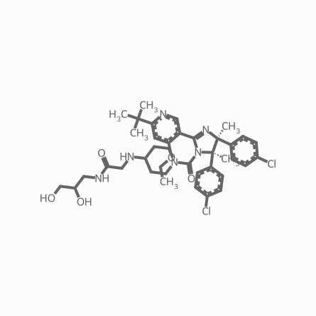 CCOc1cc(C(C)(C)C)ncc1C1=N[C@@](C)(c2ccc(Cl)cc2)[C@@](C)(c2ccc(Cl)cc2)N1C(=O)N1CCC(NCC(=O)NCC(O)CO)CC1